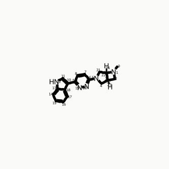 CN1C[C@@H]2CN(c3ccc(-c4c[nH]c5ccccc45)nn3)C[C@@H]21